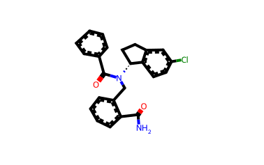 NC(=O)c1ccccc1CN(C(=O)c1ccccc1)[C@@H]1CCc2cc(Cl)ccc21